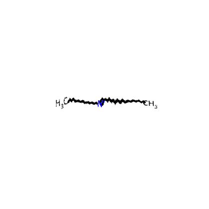 CCCCCCCCCCCCCCCCCCc1cc[n+](CCCCCCCCCCCCCCCC)cc1